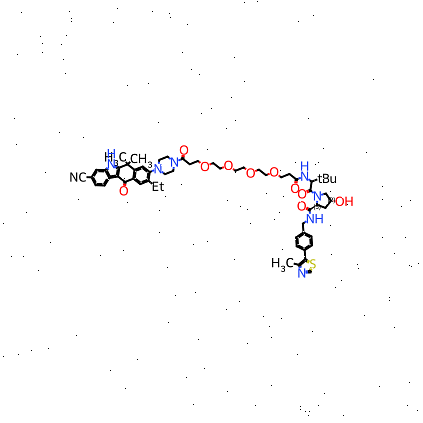 CCc1cc2c(cc1N1CCN(C(=O)CCOCCOCCOCCOCCC(=O)NC(C(=O)N3C[C@H](O)C[C@H]3C(=O)NCc3ccc(-c4scnc4C)cc3)C(C)(C)C)CC1)C(C)(C)c1[nH]c3cc(C#N)ccc3c1C2=O